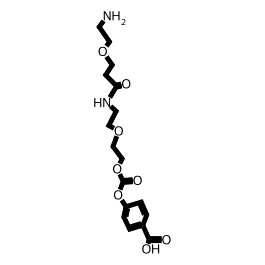 NCCOCCC(=O)NCCOCCOC(=O)Oc1ccc(C(=O)O)cc1